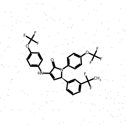 CC(F)(F)c1cccc([C@H]2C=C(Nc3ccc(OC(F)(F)F)cc3)C(=O)N2c2ccc(OC(F)(F)F)cc2)c1